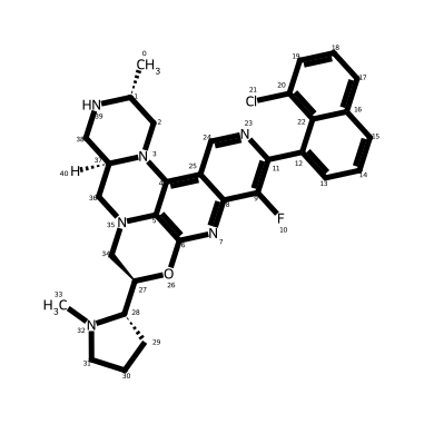 C[C@@H]1CN2c3c4c(nc5c(F)c(-c6cccc7cccc(Cl)c67)ncc35)O[C@@H]([C@@H]3CCCN3C)CN4C[C@H]2CN1